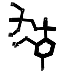 CCOP(=O)(COS(=O)(=O)c1ccc(F)cc1SC(F)(F)F)OC(C)C